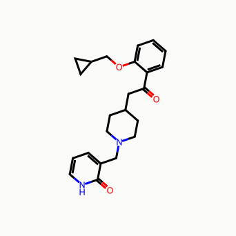 O=C(CC1CCN(Cc2ccc[nH]c2=O)CC1)c1ccccc1OCC1CC1